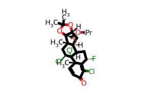 CC(C)OC(=S)[C@@]12OC(C)(C)O[C@@H]1C[C@H]1[C@@H]3C[C@H](F)C4=C(Cl)C(=O)C=C[C@]4(C)[C@@]3(Cl)[C@@H](Cl)C[C@@]12C